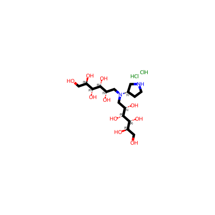 Cl.Cl.OC[C@@H](O)[C@@H](O)[C@H](O)[C@@H](O)CN(C[C@H](O)[C@@H](O)[C@H](O)[C@H](O)CO)[C@H]1CCNC1